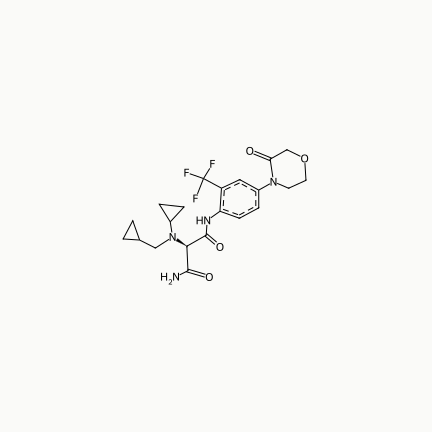 NC(=O)[C@H](C(=O)Nc1ccc(N2CCOCC2=O)cc1C(F)(F)F)N(CC1CC1)C1CC1